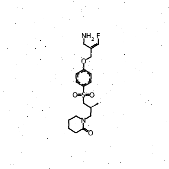 C[C@@H](CN1CCCCC1=O)CS(=O)(=O)c1ccc(OC/C(=C/F)CN)cc1